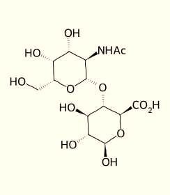 CC(=O)N[C@H]1[C@H](O[C@H]2[C@H](O)[C@@H](O)[C@H](O)O[C@@H]2C(=O)O)O[C@H](CO)[C@H](O)[C@@H]1O